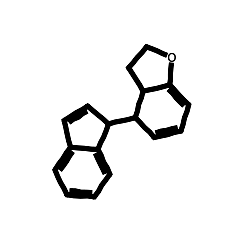 C1=CC(C2C=Cc3ccccc32)C2CCOC2=C1